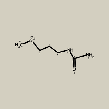 C[SiH2]CCCNC(N)=O